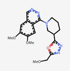 COCc1nnc(C2CCCN(c3nncc4cc(OC)c(OC)cc34)C2)o1